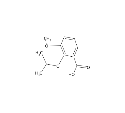 COc1cccc(C(=O)O)c1OC(C)C